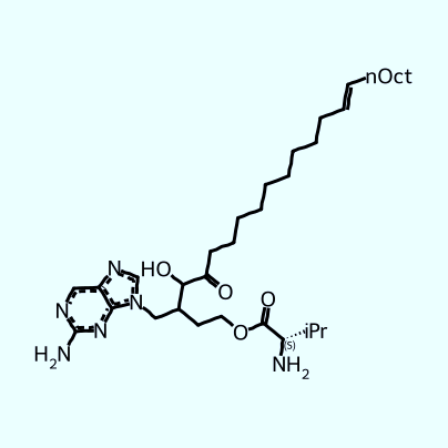 CCCCCCCCC=CCCCCCCCCCC(=O)C(O)C(CCOC(=O)[C@@H](N)C(C)C)Cn1cnc2cnc(N)nc21